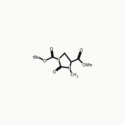 COC(=O)C1CN(C(=O)OC(C)(C)C)C(=O)N1C